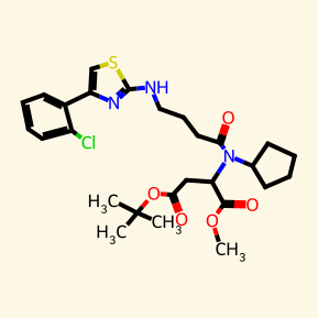 COC(=O)C(CC(=O)OC(C)(C)C)N(C(=O)CCCNc1nc(-c2ccccc2Cl)cs1)C1CCCC1